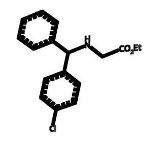 CCOC(=O)CNC(c1ccccc1)c1ccc(Cl)cc1